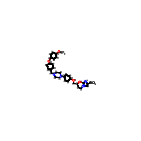 O=[N+]([O-])c1cn2c(n1)O[C@H](COc1ccc(N3CCN(Cc4ccc(Oc5ccc(OC(F)(F)F)cc5)cc4)CC3)cc1)CC2